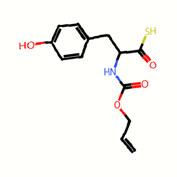 C=CCOC(=O)NC(Cc1ccc(O)cc1)C(=O)S